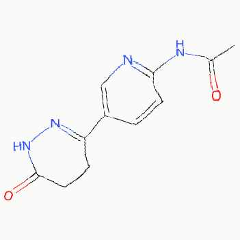 CC(=O)Nc1ccc(C2=NNC(=O)CC2)cn1